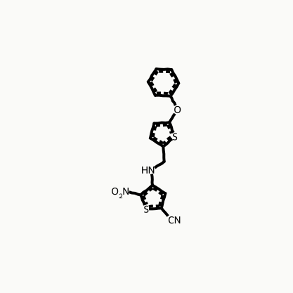 N#Cc1cc(NCc2ccc(Oc3ccccc3)s2)c([N+](=O)[O-])s1